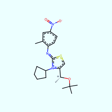 Cc1cc([N+](=O)[O-])ccc1N=c1scc([C@@H](C)OC(C)(C)C)n1C1CCCC1